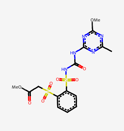 COC(=O)CS(=O)(=O)c1ccccc1S(=O)(=O)NC(=O)Nc1nc(C)nc(OC)n1